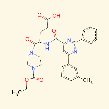 CCOC(=O)N1CCN(C(=O)[C@H](CCC(=O)O)NC(=O)c2cc(-c3cccc(C)c3)nc(-c3ccccc3)n2)CC1